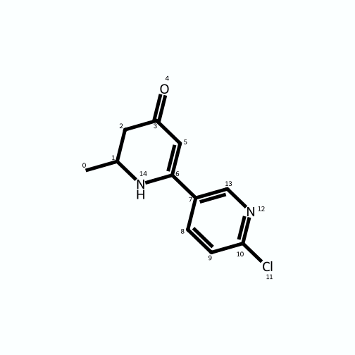 CC1CC(=O)C=C(c2ccc(Cl)nc2)N1